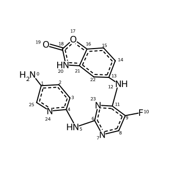 Nc1ccc(Nc2ncc(F)c(Nc3ccc4oc(=O)[nH]c4c3)n2)nc1